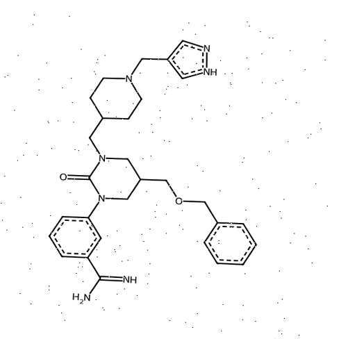 N=C(N)c1cccc(N2CC(COCc3ccccc3)CN(CC3CCN(Cc4cn[nH]c4)CC3)C2=O)c1